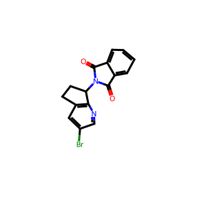 O=C1c2ccccc2C(=O)N1C1CCc2cc(Br)cnc21